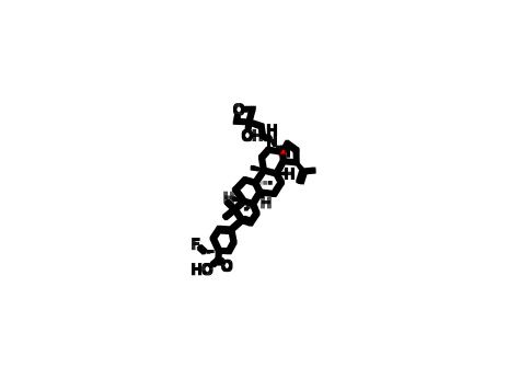 C=C(C)[C@@H]1CC[C@]2(NCCC3(O)COC3)CC[C@]3(C)[C@H](CC[C@@H]4[C@@]5(C)CC=C(C6=CC[C@](CF)(C(=O)O)CC6)C(C)(C)[C@@H]5CC[C@]43C)[C@@H]12